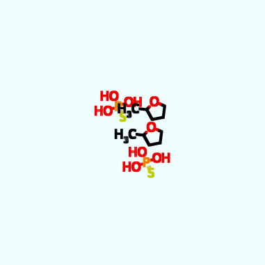 CC1CCCO1.CC1CCCO1.OP(O)(O)=S.OP(O)(O)=S